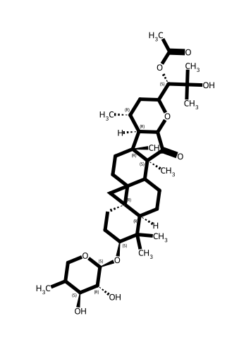 CC(=O)O[C@@H](C1C[C@@H](C)[C@H]2C(O1)C(=O)[C@@]1(C)C3CC[C@H]4C(C)(C)[C@@H](O[C@@H]5OCC(C)[C@H](O)[C@H]5O)CC[C@@]45CC35CC[C@]21C)C(C)(C)O